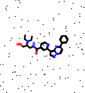 CCN(CC)C(CO)CNC(=O)c1ccnc(-c2cnn3ccc(-c4ccccc4)nc23)c1